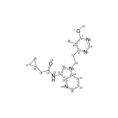 COc1ncnc(CCn2cc(NC(=O)CC3CC3)c3ncccc32)c1C